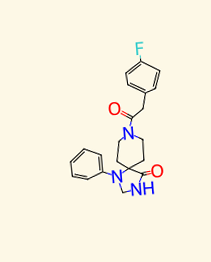 O=C(Cc1ccc(F)cc1)N1CCC2(CC1)C(=O)NCN2c1ccccc1